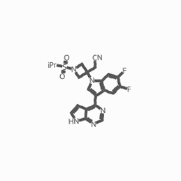 CC(C)S(=O)(=O)N1CC(CC#N)(n2cc(-c3ncnc4[nH]ccc34)c3cc(F)c(F)cc32)C1